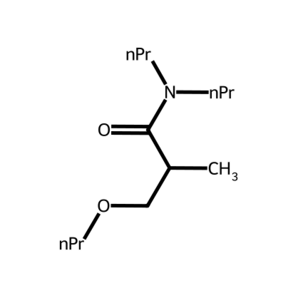 CCCOCC(C)C(=O)N(CCC)CCC